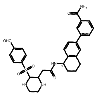 NC(=O)c1cccc(-c2ccc3c(c2)CCC[C@H]3NC(=O)CC2NCCNC2S(=O)(=O)c2ccc(C=O)cc2)c1